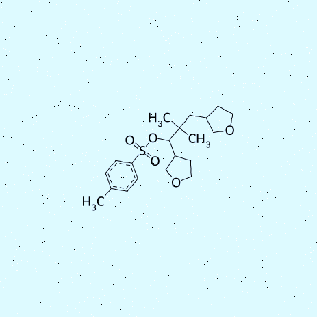 Cc1ccc(S(=O)(=O)OC(C2CCOC2)C(C)(C)CC2CCOC2)cc1